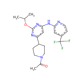 CC(=O)N1CCC(c2cc(Nc3cc(C(F)(F)F)ccn3)nc(OC(C)C)n2)CC1